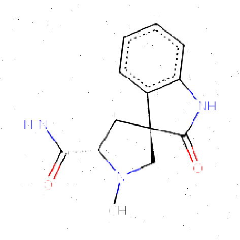 CN1C[C@]2(C[C@H]1C(N)=O)C(=O)Nc1ccccc12